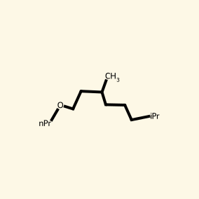 [CH2]CCOCCC(C)CCCC(C)C